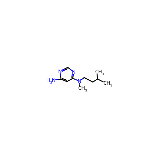 CC(C)CCN(C)c1cc(N)ncn1